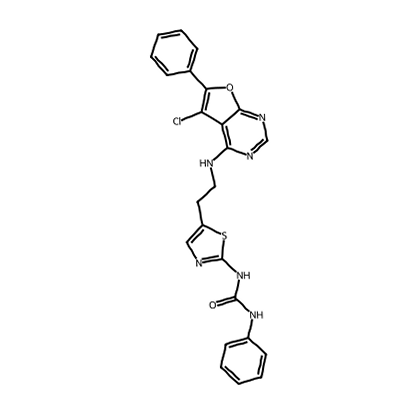 O=C(Nc1ccccc1)Nc1ncc(CCNc2ncnc3oc(-c4ccccc4)c(Cl)c23)s1